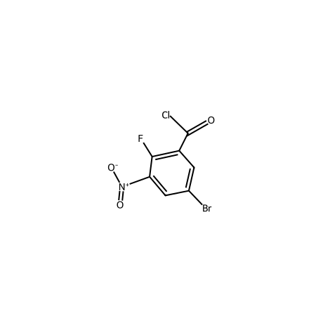 O=C(Cl)c1cc(Br)cc([N+](=O)[O-])c1F